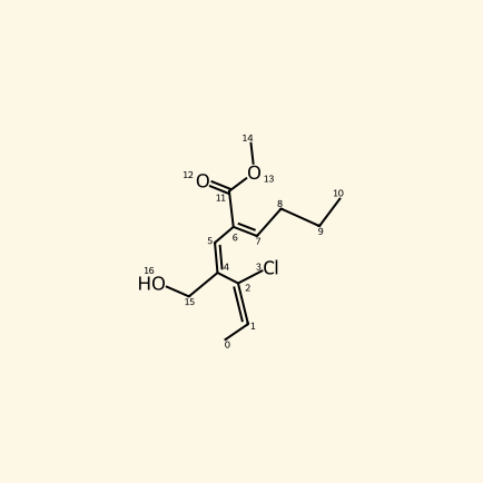 C\C=C(Cl)/C(=C\C(=C\CCC)C(=O)OC)CO